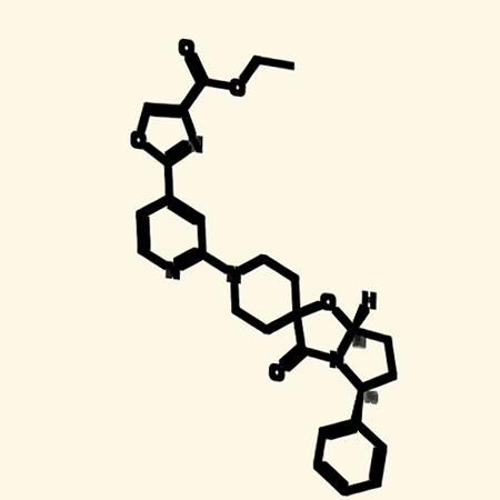 CCOC(=O)c1coc(-c2ccnc(N3CCC4(CC3)O[C@@H]3CC[C@@H](c5ccccc5)N3C4=O)c2)n1